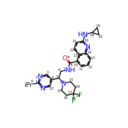 CC(C)c1ncc(C(CNC(=O)c2cccc3nc(NC4CC4)ccc23)N2CCC(F)(F)CC2)cn1